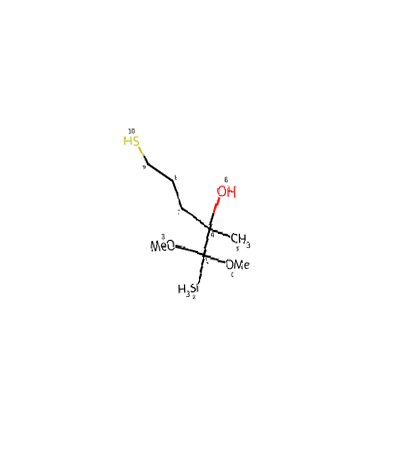 COC([SiH3])(OC)C(C)(O)CCCS